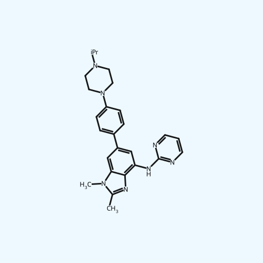 Cc1nc2c(Nc3ncccn3)cc(-c3ccc(N4CCN(C(C)C)CC4)cc3)cc2n1C